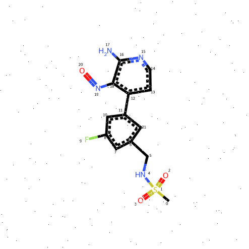 CS(=O)(=O)NCc1cc(F)cc(-c2ccnc(N)c2N=O)c1